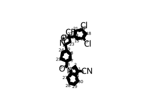 N#Cc1cn(C(=O)c2ccc(C3=NOC(c4cc(Cl)cc(Cl)c4)(C(F)(F)F)C3)cc2)c2ccccc12